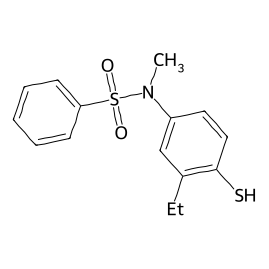 CCc1cc(N(C)S(=O)(=O)c2ccccc2)ccc1S